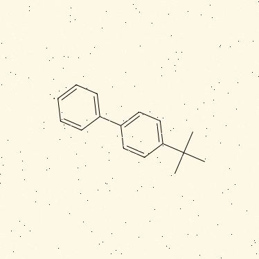 CC(C)(C)c1ccc(-c2cc[c]cc2)cc1